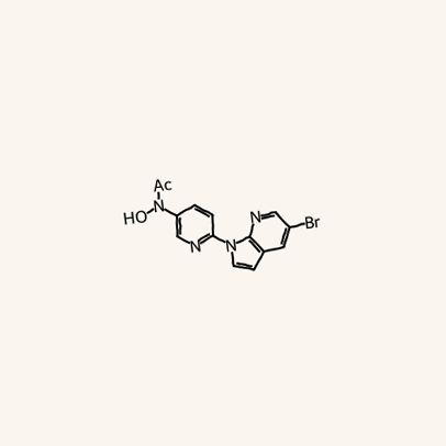 CC(=O)N(O)c1ccc(-n2ccc3cc(Br)cnc32)nc1